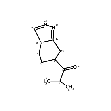 CC(C)C(=O)C1CCn2cnnc2C1